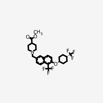 COC(=O)C1CCN(Cc2ccc3c(C(F)(F)F)c(O[C@H]4CC[C@@H](C(F)(F)F)CC4)ccc3c2)CC1